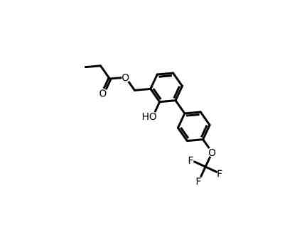 CCC(=O)OCc1cccc(-c2ccc(OC(F)(F)F)cc2)c1O